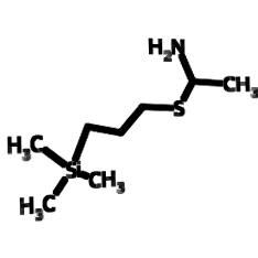 CC(N)SCCC[Si](C)(C)C